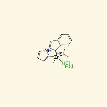 C[SiH](C)[Zr]([CH3])([CH3])([c]1ccc[nH]1)[CH]1C=Cc2ccccc21.Cl.Cl